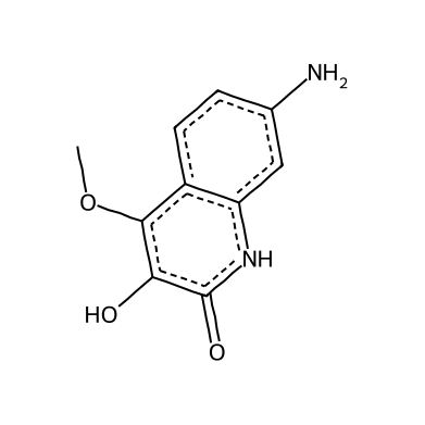 COc1c(O)c(=O)[nH]c2cc(N)ccc12